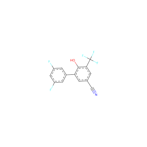 N#Cc1cc(-c2cc(F)cc(F)c2)c(O)c(C(F)(F)F)c1